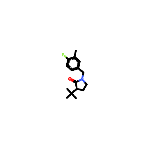 Cc1cc(CN2CCC(C(C)(C)C)C2=O)ccc1F